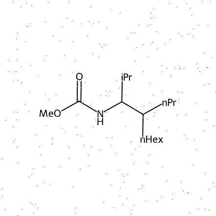 CCCCCCC(CCC)C(NC(=O)OC)C(C)C